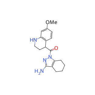 COc1ccc2c(c1)NCCC2C(=O)n1nc(N)c2c1CCCC2